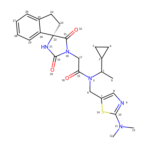 CC(C1CC1)N(Cc1cnc(N(C)C)s1)C(=O)CN1C(=O)N[C@]2(CCc3ccccc32)C1=O